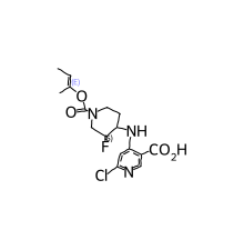 C/C=C(\C)OC(=O)N1CCC(Nc2cc(Cl)ncc2C(=O)O)[C@@H](F)C1